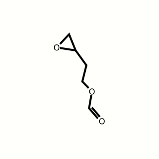 O=COCCC1CO1